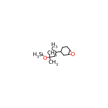 CC(CC(C)(C)O[SiH3])C1CCC2OC2C1